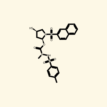 Cc1ccc(S(=O)(=O)NN(C)C(=O)O[C@H]2C[C@@H](S)CN2S(=O)(=O)c2ccc3ccccc3c2)cc1